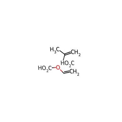 C=C(C)C(=O)O.C=COC(=O)O